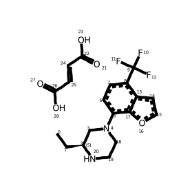 CC[C@H]1CN(c2ccc(C(F)(F)F)c3ccoc23)CCN1.O=C(O)C=CC(=O)O